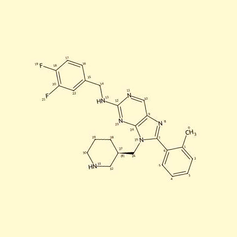 Cc1ccccc1-c1nc2cnc(NCc3ccc(F)c(F)c3)nc2n1C[C@@H]1CCCNC1